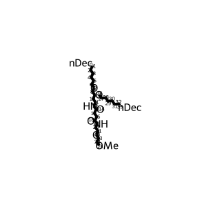 CCCCCCCCCCCCCCCCOCC(CCNC(=O)CCC(=O)NCCOCCOC)OCCCCCCCCCCCCCCCC